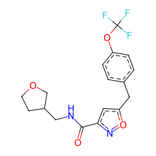 O=C(NCC1CCOC1)c1cc(Cc2ccc(OC(F)(F)F)cc2)on1